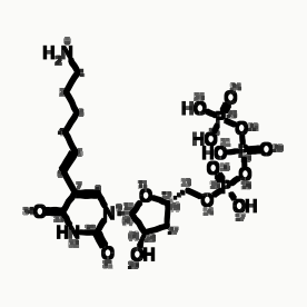 NCCCCC=Cc1cn([C@@H]2O[C@H](COP(=O)(O)OP(=O)(O)OP(=O)(O)O)C[C@H]2O)c(=O)[nH]c1=O